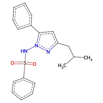 CC(C)Cc1cc(-c2ccccc2)n(NS(=O)(=O)c2ccccc2)n1